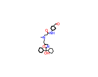 CN(CCC(=O)Nc1ccc(C=O)cc1)CCc1cnc(C(O)(c2ccccc2)C2CCCCC2)o1